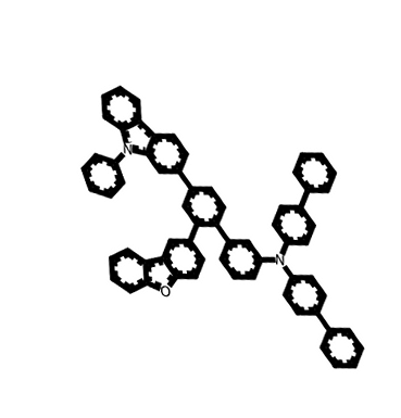 c1ccc(-c2ccc(N(c3ccc(-c4ccccc4)cc3)c3cccc(-c4ccc(-c5ccc6c7ccccc7n(-c7ccccc7)c6c5)cc4-c4ccc5oc6ccccc6c5c4)c3)cc2)cc1